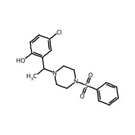 CC(c1cc(Cl)ccc1O)N1CCN(S(=O)(=O)c2ccccc2)CC1